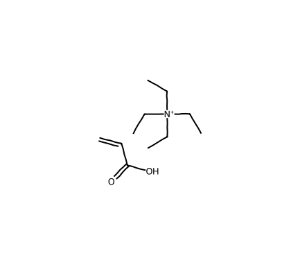 C=CC(=O)O.CC[N+](CC)(CC)CC